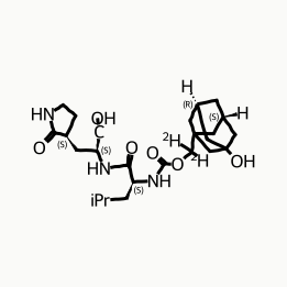 [2H]C([2H])(OC(=O)N[C@@H](CC(C)C)C(=O)N[C@H](CO)C[C@@H]1CCNC1=O)C12C[C@@H]3C[C@@H](CC(O)(C3)C1)C2